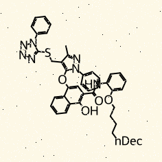 CCCCCCCCCCCCCCOc1ccccc1NC(=O)c1cc(Oc2c(CSc3nnnn3-c3ccccc3)c(C)nn2-c2ccccc2)c2ccccc2c1O